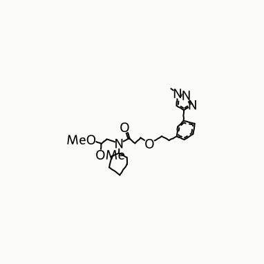 COC(CN(C(=O)CCOCCc1cccc(-c2cn(C)nn2)c1)C1CCCCC1)OC